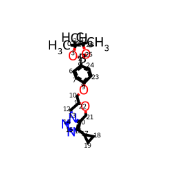 CC1(C)OB(c2ccc(OCC3Cn4nnc(C5CC5)c4CO3)cc2)OC1(C)C